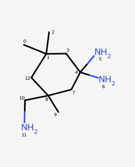 CC1(C)CC(N)(N)CC(C)(CN)C1